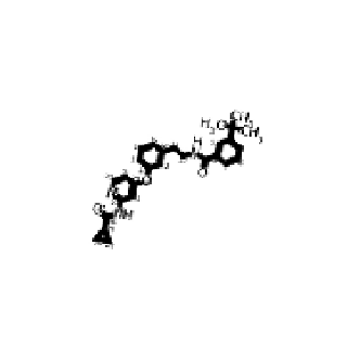 CC(C)(C)c1cccc(C(=O)NCCc2cccc(Oc3ccnc(NC(=O)C4CC4)c3)c2)c1